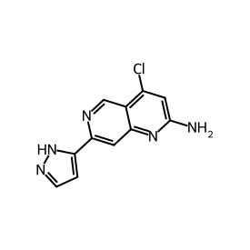 Nc1cc(Cl)c2cnc(-c3ccn[nH]3)cc2n1